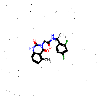 Cc1cccc2[nH]c(=O)n(CC(=O)N[C@@H](C)c3ccc(F)cc3F)c(=O)c12